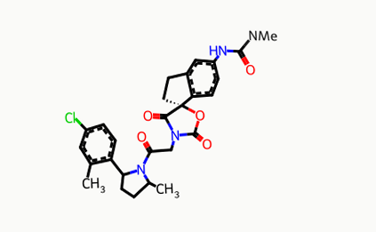 CNC(=O)Nc1ccc2c(c1)CC[C@@]21OC(=O)N(CC(=O)N2C(C)CCC2c2ccc(Cl)cc2C)C1=O